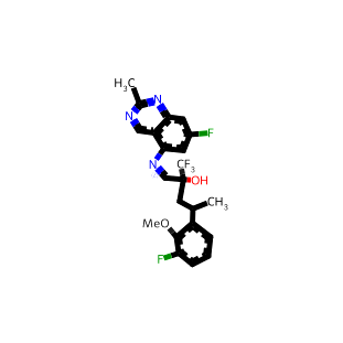 COc1c(F)cccc1C(C)CC(O)(/C=N\c1cc(F)cc2nc(C)ncc12)C(F)(F)F